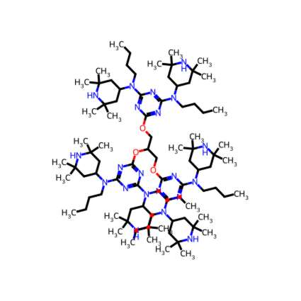 CCCCN(c1nc(OCC(COc2nc(N(CCCC)C3CC(C)(C)NC(C)(C)C3)nc(N(CCCC)C3CC(C)(C)NC(C)(C)C3)n2)Oc2nc(N(CCCC)C3CC(C)(C)NC(C)(C)C3)nc(N(CCCC)C3CC(C)(C)NC(C)(C)C3)n2)nc(N(CCCC)C2CC(C)(C)NC(C)(C)C2)n1)C1CC(C)(C)NC(C)(C)C1